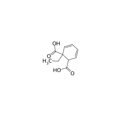 CCC1(C(=O)O)C=CC=CC1C(=O)O